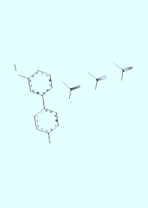 CC(=O)O.CC(=O)O.CC(=O)O.Clc1ccc(-c2ccc[c]([Pb][Br])c2)cc1